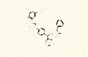 CC(Cc1ccccc1)Nn1nc(-c2ccc(NC(=O)Nc3cc(C(F)(F)F)ccc3F)cc2)c2cncnc21